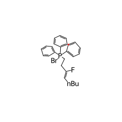 CCCCC=C(F)CCP(Br)(c1ccccc1)(c1ccccc1)c1ccccc1